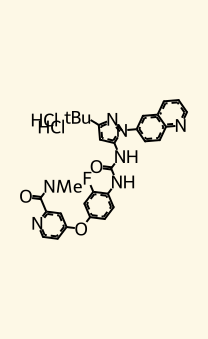 CNC(=O)c1cc(Oc2ccc(NC(=O)Nc3cc(C(C)(C)C)nn3-c3ccc4ncccc4c3)c(F)c2)ccn1.Cl.Cl